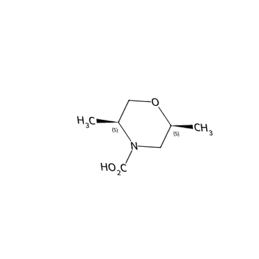 C[C@H]1CN(C(=O)O)[C@@H](C)CO1